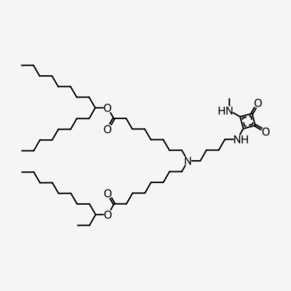 CCCCCCCCC(CC)OC(=O)CCCCCCCN(CCCCCCCC(=O)OC(CCCCCCCC)CCCCCCCC)CCCCNc1c(NC)c(=O)c1=O